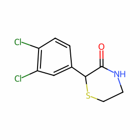 O=C1NCCSC1c1ccc(Cl)c(Cl)c1